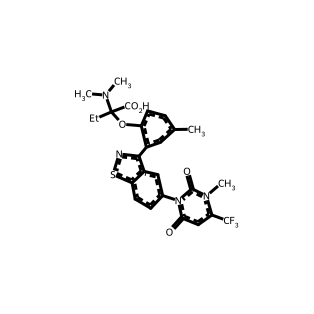 CCC(Oc1ccc(C)cc1-c1nsc2ccc(-n3c(=O)cc(C(F)(F)F)n(C)c3=O)cc12)(C(=O)O)N(C)C